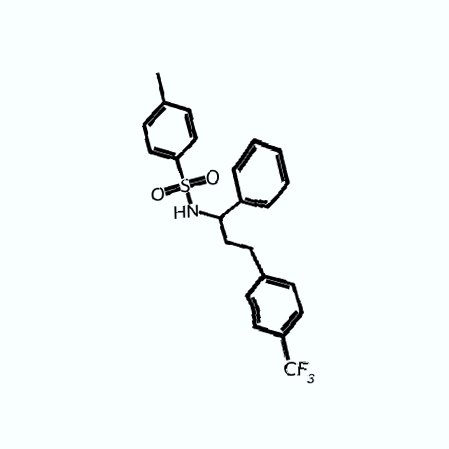 Cc1ccc(S(=O)(=O)NC(CCc2ccc(C(F)(F)F)cc2)c2ccccc2)cc1